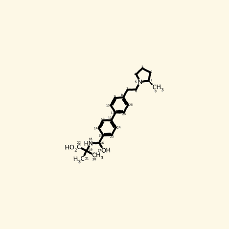 C[C@@H]1CCCN1CCc1ccc(-c2ccc(C(O)NC(C)(C)C(=O)O)cc2)cc1